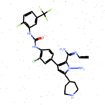 C=C/N=C(/N)c1c(-c2ccc(NC(=O)Nc3cc(C(F)(F)F)ccc3F)c(Cl)c2)cc(C2CCNCC2)n1N